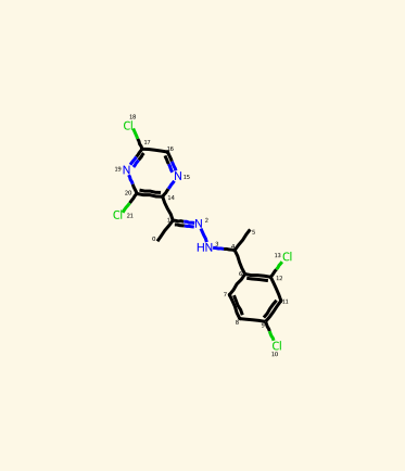 C/C(=N\NC(C)c1ccc(Cl)cc1Cl)c1ncc(Cl)nc1Cl